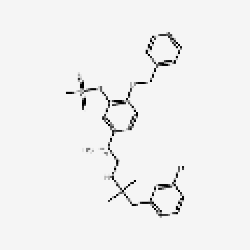 CCc1cccc(CC(C)(C)NC[C@H](O)c2ccc(OCc3ccccc3)c(NS(C)(=O)=O)c2)c1